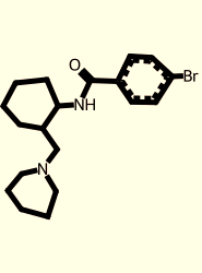 O=C(NC1CCCCC1CN1CCCCC1)c1ccc(Br)cc1